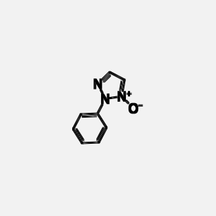 [O-][n+]1ccnn1-c1ccccc1